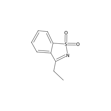 CCC1=NS(=O)(=O)c2ccccc21